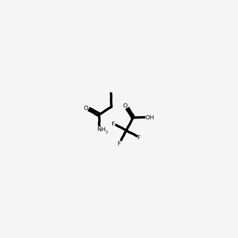 CCC(N)=O.O=C(O)C(F)(F)F